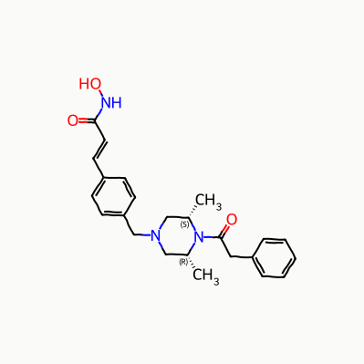 C[C@@H]1CN(Cc2ccc(C=CC(=O)NO)cc2)C[C@H](C)N1C(=O)Cc1ccccc1